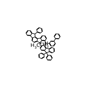 CC1(C)c2ccc3c(c2-c2cccc(N(c4cccc(-c5ccccc5)c4)c4cccc5c4-c4ccccc4C5(c4ccccc4)c4ccccc4)c21)C(c1ccccc1)c1ccccc1-3